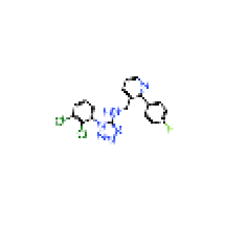 Fc1ccc(-c2ncccc2CNc2nnnn2-c2cccc(Cl)c2Cl)cc1